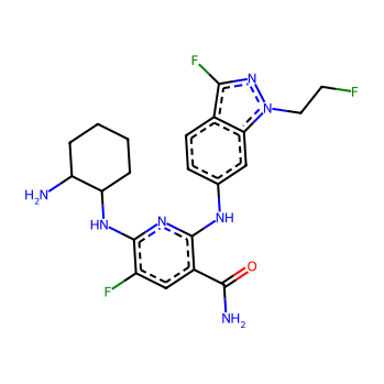 NC(=O)c1cc(F)c(NC2CCCCC2N)nc1Nc1ccc2c(F)nn(CCF)c2c1